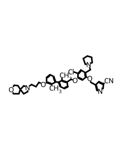 Cc1c(COc2cc(OCc3cncc(C#N)c3)c(CN3CCCCC3)cc2Cl)cccc1-c1cccc(OCCCN2CCC3(CCOCC3)C2)c1C